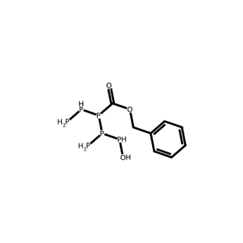 O=C(OCc1ccccc1)P(PP)P(P)PO